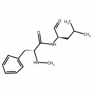 CN[C@H](Cc1ccccc1)C(=O)N[C@@H](C=O)CC(C)C